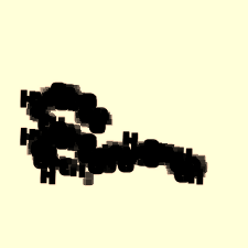 CCCCNS(=O)(=O)c1cccc(NC2CCN(S(=O)(=O)c3ccc(CNC(=O)c4cccc([N+](=O)[O-])c4)s3)CC2)c1.CCc1cccc(NC2CCN(S(=O)(=O)c3ccc(CNC(=O)c4cccc([N+](=O)[O-])c4)s3)CC2)c1.O=C(NCc1ccc(S(=O)(=O)N2CCC(Nc3ccc(O)c(C4CCCCC4)c3)CC2)s1)c1cccc([N+](=O)[O-])c1